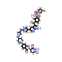 O=C1CCC(N2Cc3cc(N4CCC(CN5CC(Cc6ncc(-c7cnc8[nH]cc(C(=O)c9c(F)ccc(NS(=O)(=O)N%10CC[C@@H](F)C%10)c9F)c8c7)cn6)C5)CC4)ccc3C2=O)C(=O)N1